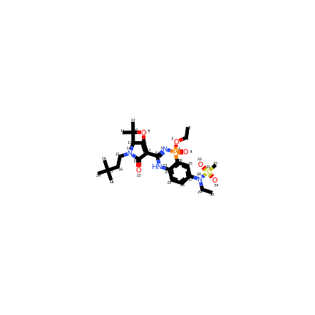 CCOP1(=O)N=C(C2=C3OC(C)(C)C3N(CCC(C)(C)C)C2=O)Nc2ccc(N(CC)S(C)(=O)=O)cc21